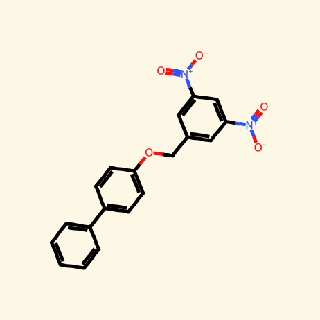 O=[N+]([O-])c1cc(COc2ccc(-c3ccccc3)cc2)cc([N+](=O)[O-])c1